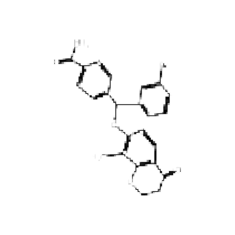 Cc1c(OC(c2ccc(C(N)=O)cc2)c2cccc(Br)c2)ccc2c1OCCC2=O